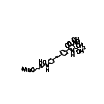 COCCCNCC(=O)Nc1ccc(C#Cc2ccc(C(=O)N[C@H](C(=O)NO)[C@@H](C)O)cc2)cc1